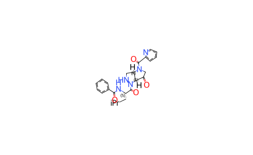 CC(C)C[C@H](NC(=O)c1ccccc1)C(=O)N1NC[C@@H]2[C@H]1C(=O)CN2C(=O)c1ccccn1